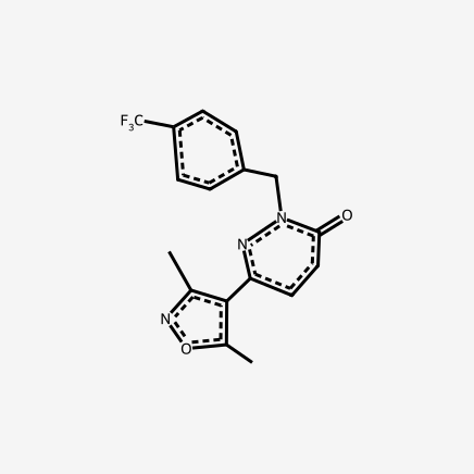 Cc1noc(C)c1-c1ccc(=O)n(Cc2ccc(C(F)(F)F)cc2)n1